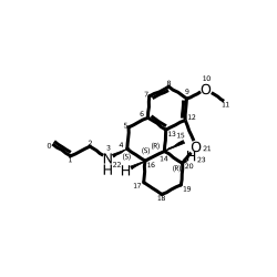 C=CCN[C@H]1Cc2ccc(OC)c3c2[C@@]2(C)[C@@H]1CCC[C@H]2O3